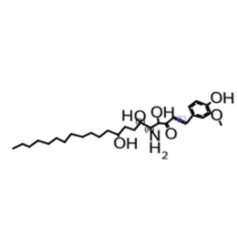 CCCCCCCCCCCCC(O)CC[C@@H](O)[C@@H](N)C(O)C(=O)/C=C/c1ccc(O)c(OC)c1